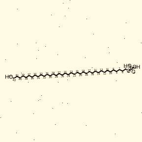 O=P(O)(O)OCCCCCCCCCCCCCCCCCCCCCCCCCCCCCCCCCCCCCCO